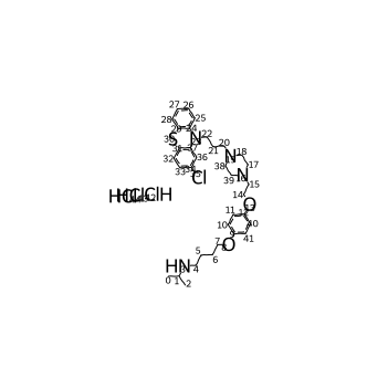 CC(C)NCCCCOc1ccc(OCCN2CCN(CCCN3c4ccccc4Sc4ccc(Cl)cc43)CC2)cc1.Cl.Cl.Cl